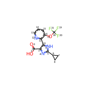 O=C(O)c1nc(C2CC2)[nH]c1-c1ncccc1OC(F)(F)F